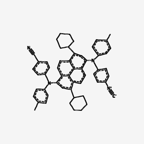 [C-]#[N+]c1ccc(N(c2ccc(C)cc2)c2cc(C3CCCCC3)c3ccc4c(N(c5ccc(C)cc5)c5ccc(C#N)cc5)cc(C5CCCCC5)c5ccc2c3c54)cc1